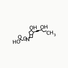 CCCC(O)C#CC1C(O)CC2C(=NOCC(=O)O)CC21